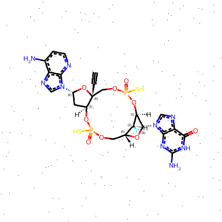 C#C[C@@]12COP(=O)(S)O[C@@H]3[C@@H](F)[C@@H](COP(=O)(S)O[C@H]1C[C@H](n1cnc4c(N)ccnc41)O2)O[C@H]3n1cnc2c(=O)[nH]c(N)nc21